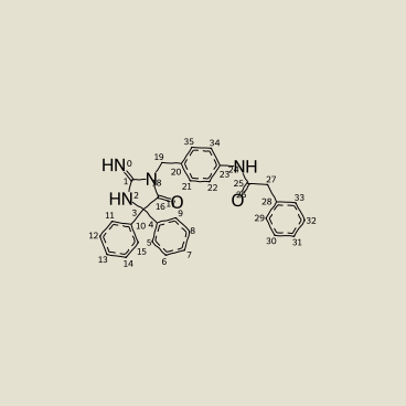 N=C1NC(c2ccccc2)(c2ccccc2)C(=O)N1Cc1ccc(NC(=O)Cc2ccccc2)cc1